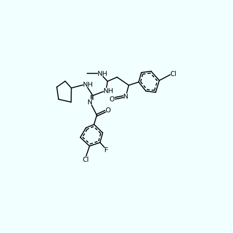 CNC(CC(N=O)c1ccc(Cl)cc1)N/C(=N\C(=O)c1ccc(Cl)c(F)c1)NC1CCCC1